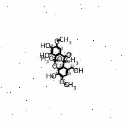 COc1cc2c(c(O)c1O)C1(C)Oc3c(O)c(OC)cc(CO)c3C(C)(O1)C2=O